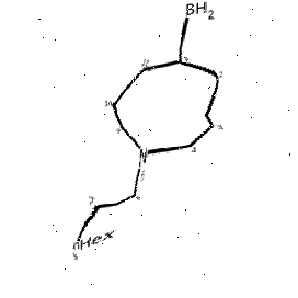 BC1CCCN(CCCCCCCC)CCC1